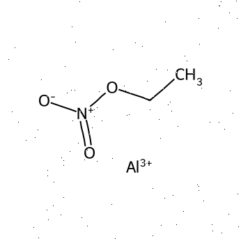 CCO[N+](=O)[O-].[Al+3]